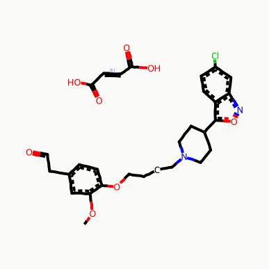 COc1cc(CC=O)ccc1OCCCCN1CCC(c2onc3cc(Cl)ccc23)CC1.O=C(O)/C=C/C(=O)O